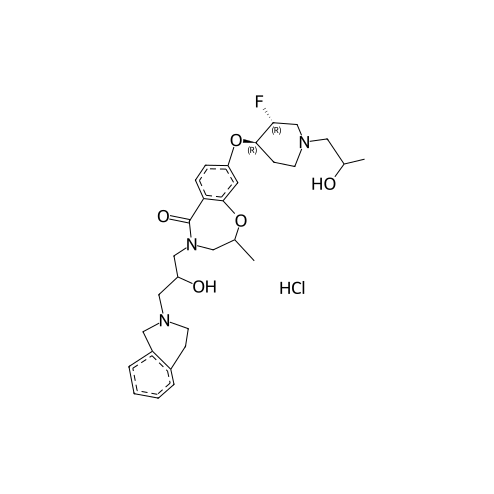 CC(O)CN1CC[C@@H](Oc2ccc3c(c2)OC(C)CN(CC(O)CN2CCc4ccccc4C2)C3=O)[C@H](F)C1.Cl